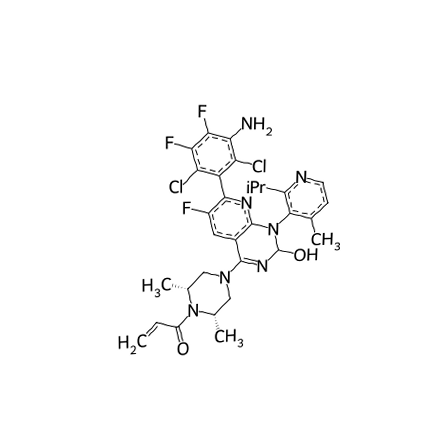 C=CC(=O)N1[C@H](C)CN(C2=NC(O)N(c3c(C)ccnc3C(C)C)c3nc(-c4c(Cl)c(N)c(F)c(F)c4Cl)c(F)cc32)C[C@@H]1C